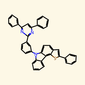 c1ccc(-c2cc(-c3ccccc3)nc(-c3cccc(-n4c5ccccc5c5c6sc(-c7ccccc7)cc6ccc54)c3)n2)cc1